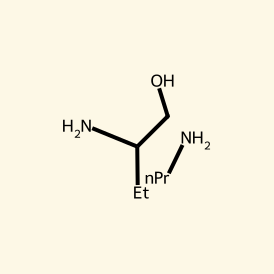 CCC(N)CO.CCCN